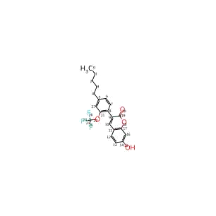 CCCCCc1ccc(-c2cc3ccc(O)cc3oc2=O)c(OC(F)(F)F)c1